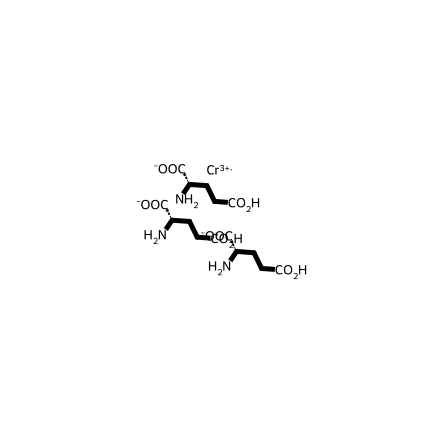 N[C@@H](CCC(=O)O)C(=O)[O-].N[C@@H](CCC(=O)O)C(=O)[O-].N[C@@H](CCC(=O)O)C(=O)[O-].[Cr+3]